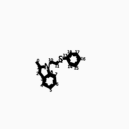 CC1Cc2ccccc2N1CCSc1ccccc1